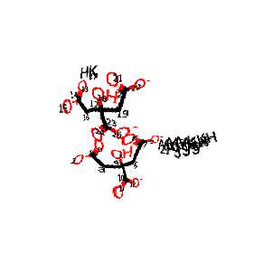 O=C([O-])CC(O)(CC(=O)[O-])C(=O)[O-].O=C([O-])CC(O)(CC(=O)[O-])C(=O)[O-].[KH].[KH].[KH].[Mg+2].[Mg+2].[Mg+2]